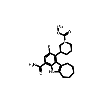 CC(C)(C)OC(=O)N1CCCC(c2c(F)cc(C(N)=O)c3[nH]c4c(c23)CCCCC4)C1